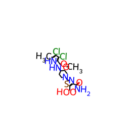 COC1CN(c2nc(C(N)=O)c(C(=O)O)s2)CCC1NC(=O)c1[nH]c(C)c(Cl)c1Cl